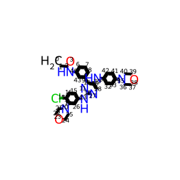 C=CC(=O)Nc1cccc(-c2nc(Nc3ccc(Cl)c(N4CCOCC4)c3)ncc2Nc2ccc(N3CCOCC3)cc2)c1